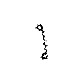 c1ccc(CSCCSCCSCc2ccccn2)nc1